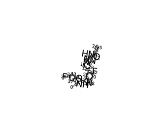 C[C@H](NC(=O)c1cn(C)c2cc(F)c(-c3ccn4nc(NC(=O)C5CC5)nc4c3)cc12)c1cccc(F)c1